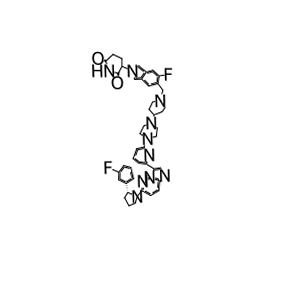 O=C1CCC(n2cc3cc(F)c(CN4CCC(N5CCN(c6cccc(-c7cnc8ccc(N9CCC[C@@H]9c9cccc(F)c9)nn78)n6)CC5)CC4)cc3c2)C(=O)N1